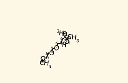 [3H]O[Si](C)(CCCOCOCCOC)O[3H]